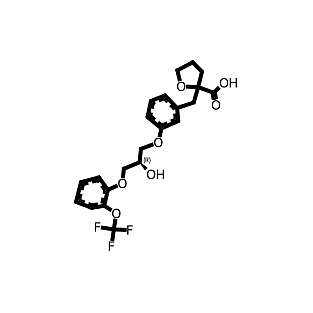 O=C(O)C1(Cc2cccc(OC[C@@H](O)COc3ccccc3OC(F)(F)F)c2)CCCO1